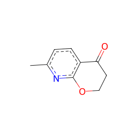 Cc1ccc2c(n1)OCCC2=O